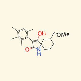 COCC1CCCC2(C1)NC(=O)C(c1c(C)cc(C)c(C)c1C)=C2O